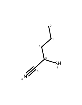 CCCC(S)C#N